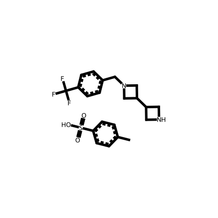 Cc1ccc(S(=O)(=O)O)cc1.FC(F)(F)c1ccc(CN2CC(C3CNC3)C2)cc1